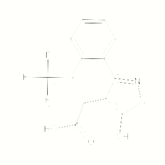 Cc1onc(-c2ccccc2OC(F)(F)F)c1CC(=O)O